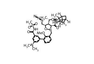 COc1c(CN2O[C@@H](CN=[N+]=[N-])[C@@H]([C@H](C)O)[C@H]2C(=O)N[C@H]2C[C@H]3C[C@@H]([C@@H]2C)C3(C)C)cccc1-c1cc(C(=O)NS(C)(=O)=O)cc(N(C)C)c1